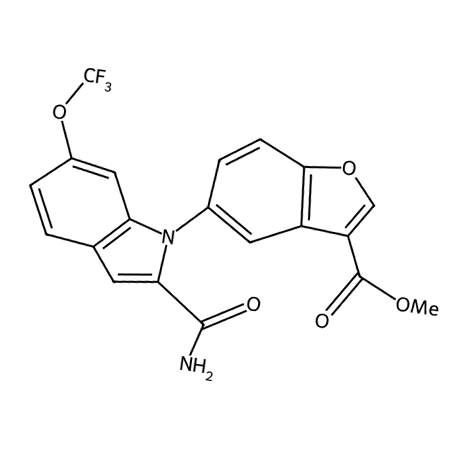 COC(=O)c1coc2ccc(-n3c(C(N)=O)cc4ccc(OC(F)(F)F)cc43)cc12